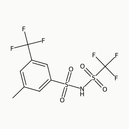 Cc1cc(C(F)(F)F)cc(S(=O)(=O)NS(=O)(=O)C(F)(F)F)c1